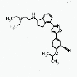 CCN(CC)CCNC1CCc2c(-c3noc(-c4ccc(OC(C)C)c(C#N)c4)n3)cccc21